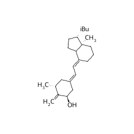 C=C1[C@H](C)C/C(=C\C=C2/CCC[C@@]3(C)C2CCC3[C@@H](C)CC)C[C@H]1O